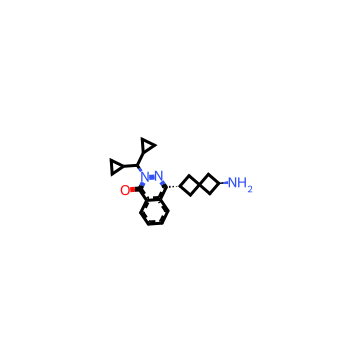 N[C@H]1CC2(C1)C[C@@H](c1nn(C(C3CC3)C3CC3)c(=O)c3ccccc31)C2